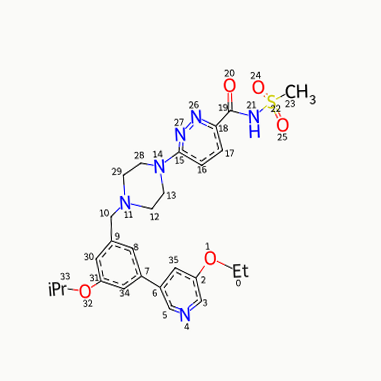 CCOc1cncc(-c2cc(CN3CCN(c4ccc(C(=O)NS(C)(=O)=O)nn4)CC3)cc(OC(C)C)c2)c1